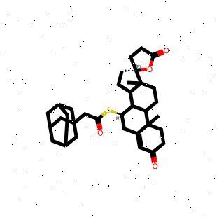 CC12CCC(=O)C=C1C[C@@H](SC(=O)CC13CC4CC(CC(C4)C1)C3)C1C2CCC2(C)C1CC[C@@]21CCC(=O)O1